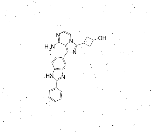 Nc1nccn2c(C3CC(O)C3)nc(-c3ccc4[nH]c(-c5ccccc5)nc4c3)c12